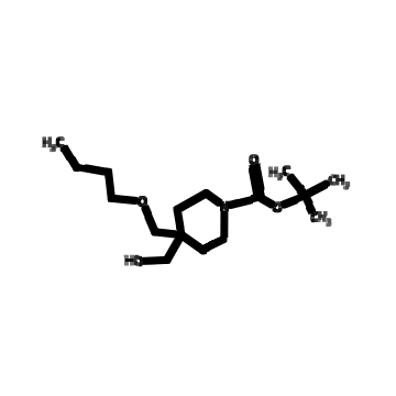 CCCCOCC1(CO)CCN(C(=O)OC(C)(C)C)CC1